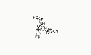 CC(C)(O)[C@H](F)CNC(=O)c1cnc(-c2ccc3cc(C#N)cnn23)cc1NC1CCC(F)(F)CC1